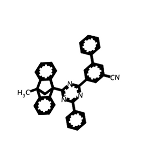 CC12CC(c3nc(-c4ccccc4)nc(-c4cc(C#N)cc(-c5ccccc5)c4)n3)(c3ccccc31)c1ccccc12